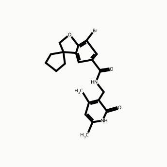 Cc1cc(C)c(CNC(=O)c2cc(Br)c3c(c2)C2(CCCC2)CO3)c(=O)[nH]1